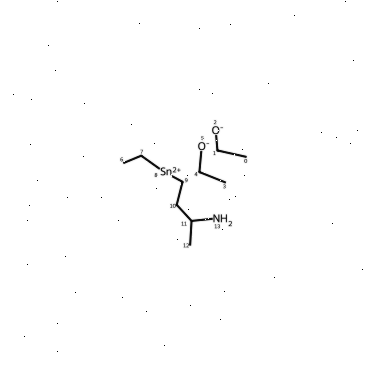 CC[O-].CC[O-].C[CH2][Sn+2][CH2]CC(C)N